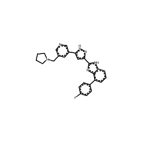 Fc1ccc(-c2cccc3[nH]c(-c4cc(-c5cncc(CN6CCCC6)c5)[nH]n4)nc23)cc1